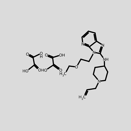 C=CCN1CCC(Nc2nc3cccnc3n2CCOCC)CC1.O=C(O)C(=O)O.O=C(O)C(=O)O